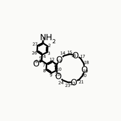 Nc1ccc(C(=O)c2ccc3c(c2)OCCOCCOCCOCCO3)cc1